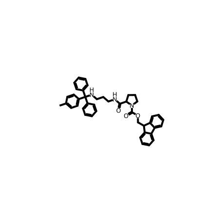 Cc1ccc(C(NCCCNC(=O)C2CCCN2C(=O)OCC2c3ccccc3-c3ccccc32)(c2ccccc2)c2ccccc2)cc1